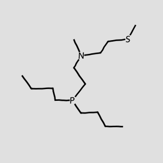 CCCCP(CCCC)CCN(C)CCSC